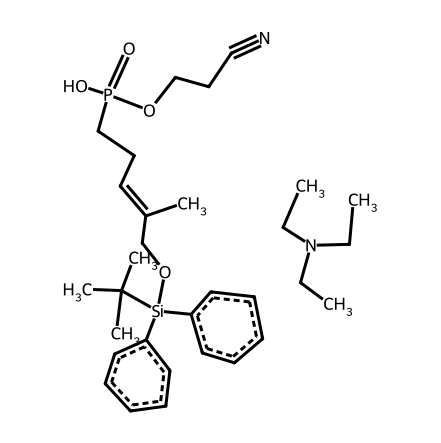 C/C(=C\CCP(=O)(O)OCCC#N)CO[Si](c1ccccc1)(c1ccccc1)C(C)(C)C.CCN(CC)CC